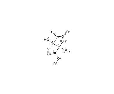 CC(C)OC(=O)C(C)(O)C([SiH3])(C(=O)OC(C)C)C(C)C